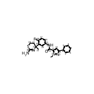 Cn1nc(-c2ccccc2)cc1C(=O)Nc1ccc(F)c(C2(C)CCSC(N)=N2)c1